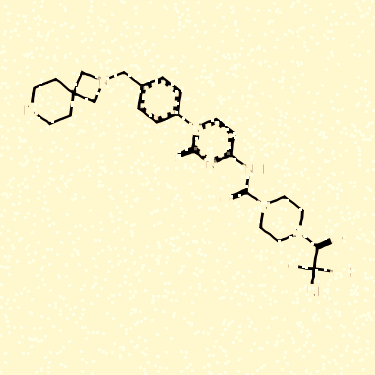 CC(C)(N)C(=O)N1CCN(C(=O)Nc2ccn(-c3ccc(CN4CC5(CCNCC5)C4)cc3)c(=O)n2)CC1